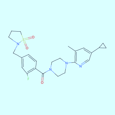 Cc1cc(C2CC2)cnc1N1CCN(C(=O)c2ccc(CN3CCCS3(=O)=O)cc2F)CC1